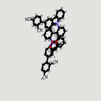 N#Cc1ccc(-c2ccc3c(c2)c2ccccc2n3-c2cccc(C#N)c2-c2c(-c3ccc(C(F)(F)F)cc3C#N)cccc2-n2c3ccccc3c3cc(-c4ccc(C#N)cc4C#N)ccc32)c(C#N)c1